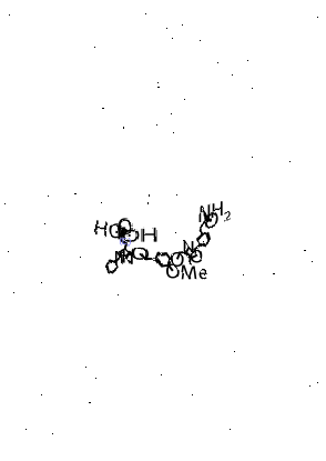 COc1cc(COc2nn(-c3ccccc3)cc2/C=C/P(=O)(O)O)ccc1OCc1nc(-c2cccc(CC(N)=O)c2)oc1C